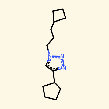 c1c(C2CCCC2)nnn1CCCC1CCC1